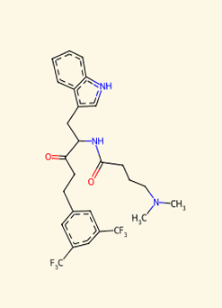 CN(C)CCCC(=O)NC(Cc1c[nH]c2ccccc12)C(=O)CCc1cc(C(F)(F)F)cc(C(F)(F)F)c1